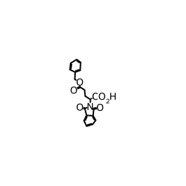 O=C(CC[C@@H](C(=O)O)N1C(=O)c2ccccc2C1=O)OCc1ccccc1